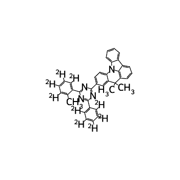 [2H]c1c([2H])c([2H])c(-c2nc(-c3ccc4c(c3)C(C)(C)c3cccc5c6ccccc6n-4c35)nc(-c3c([2H])c([2H])c([2H])c([2H])c3C)n2)c([2H])c1[2H]